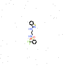 O=S(=O)(NCCCNc1nsc2ccccc12)c1ccccc1C(F)(F)F